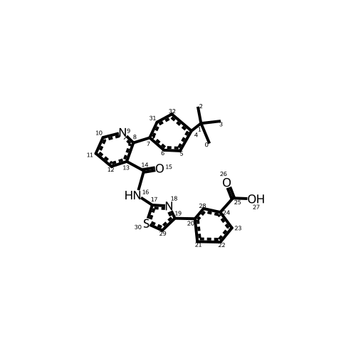 CC(C)(C)c1ccc(-c2ncccc2C(=O)Nc2nc(-c3cccc(C(=O)O)c3)cs2)cc1